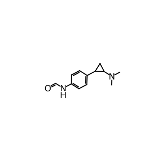 CN(C)C1CC1c1ccc(NC=O)cc1